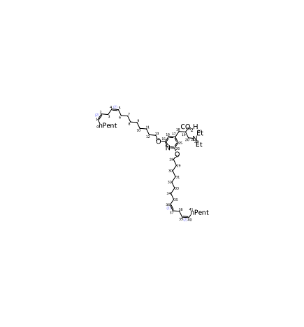 CCCCC/C=C\C/C=C\CCCCCCCCOc1cc(CC(CN(CC)CC)C(=O)O)cc(OCCCCCCCC/C=C\C/C=C\CCCCC)n1